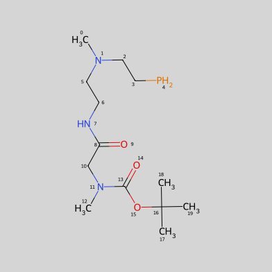 CN(CCP)CCNC(=O)CN(C)C(=O)OC(C)(C)C